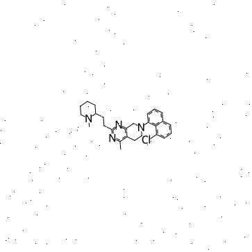 Cc1nc(CCC2CCCCN2C)nc2c1CCN(c1cccc3cccc(Cl)c13)C2